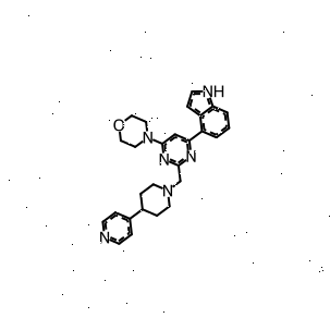 c1cc(-c2cc(N3CCOCC3)nc(CN3CCC(c4ccncc4)CC3)n2)c2cc[nH]c2c1